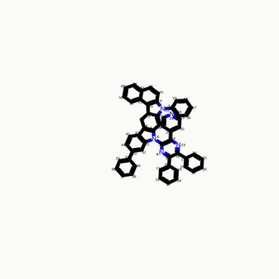 C1=C2C(Cc3c1n(-c1nc(-c4ccccc4)c(-c4ccccc4)nc1-c1ccncc1)c1cc(-c4ccccc4)ccc31)c1c(ccc3ccccc13)N2c1ccccc1